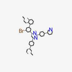 C=C/C=C\c1c(C)cccc1-c1cc(Br)cc(C2C=C(c3ccc(C(/C=C\C)=C/C=C)cc3)N=C(c3ccc(-c4cccnc4)cc3)N2C)c1